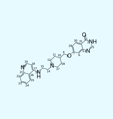 O=c1[nH]cnc2cc(OCC3CCN(CCNc4ccnc5ccccc45)CC3)ccc12